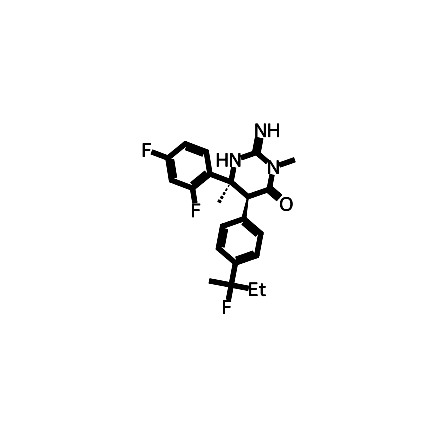 CCC(C)(F)c1ccc([C@@H]2C(=O)N(C)C(=N)N[C@]2(C)c2ccc(F)cc2F)cc1